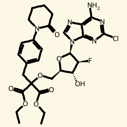 CCOC(=O)C(Cc1ccc(N2CCCCC2=O)cc1)(OC[C@H]1O[C@@H](n2cnc3c(N)nc(Cl)nc32)[C@@H](F)[C@@H]1O)C(=O)OCC